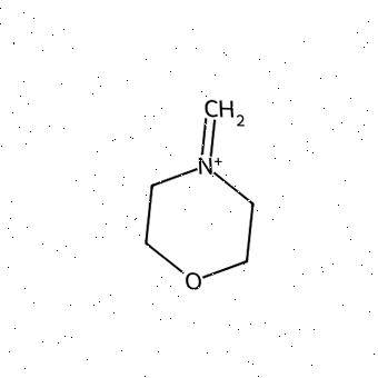 C=[N+]1CCOCC1